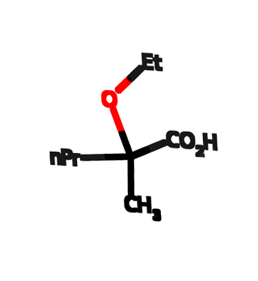 CCCC(C)(OCC)C(=O)O